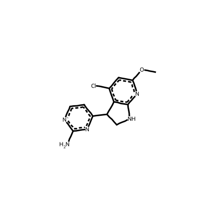 COc1cc(Cl)c2c(n1)NCC2c1ccnc(N)n1